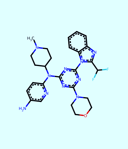 CN1CCC(N(c2ccc(N)cn2)c2nc(N3CCOCC3)nc(-n3c(C(F)F)nc4ccccc43)n2)CC1